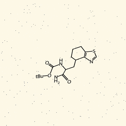 CC(C)(C)OC(=O)NC(CC1CCCc2scnc21)C(N)=O